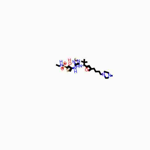 CCNS(=O)(=O)c1scc(Nc2nsnc2N[C@@H](c2cc(CCCCN3CCN(C)CC3)co2)C(C)(C)C)c1O